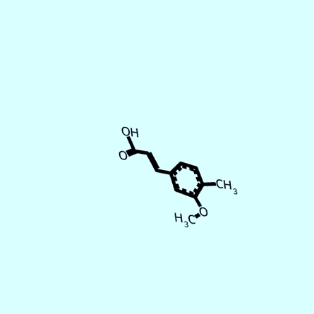 COc1cc(/C=C/C(=O)O)ccc1C